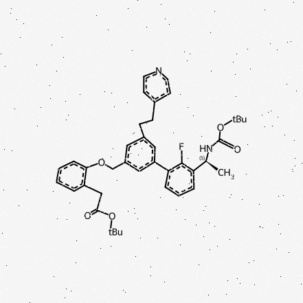 C[C@H](NC(=O)OC(C)(C)C)c1cccc(-c2cc(CCc3ccncc3)cc(COc3ccccc3CC(=O)OC(C)(C)C)c2)c1F